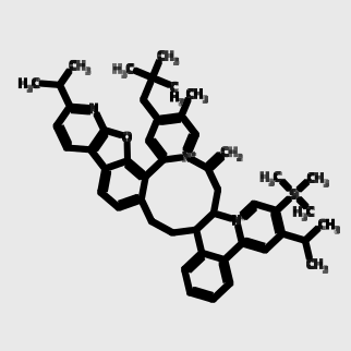 C=C1CC2C(CCc3ccc4c(oc5nc(C(C)C)ccc54)c3-c3cc(CC(C)(C)C)c(C)c[n+]31)c1ccccc1-c1cc(C(C)C)c([Si](C)(C)C)c[n+]12